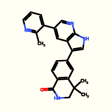 Cc1ncccc1-c1cnc2[nH]cc(-c3ccc4c(c3)C(C)(C)CNC4=O)c2c1